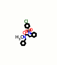 CN(Cc1ccccc1)C(=O)C1Cc2ccccc2N1S(=O)(=O)c1ccc(Cl)cc1